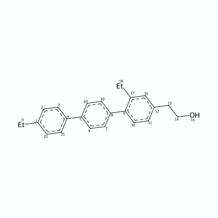 CCc1ccc(-c2ccc(-c3ccc(CCO)cc3CC)cc2)cc1